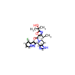 CCc1nc(C(C)(C)O)oc1C(=O)N1CCc2[nH]cnc2[C@@H]1c1cc2c(F)cccn2n1